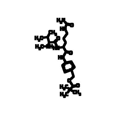 CNC(C(=O)NC(CCCNC(N)=O)C(=O)Nc1ccc(COC(=O)C(C)(C)C)cc1)C(C)C